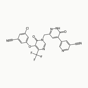 N#Cc1cc(Cl)cc(Oc2c(C(F)(F)F)ncn(Cc3cc(-c4cncc(C#N)c4)c(=O)[nH]n3)c2=O)c1